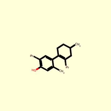 Cc1cc(O)c(C(C)C)cc1C1=C(C(C)C)CC(C)CC1